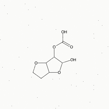 O=C(O)OC1C(O)OC2CCOC21